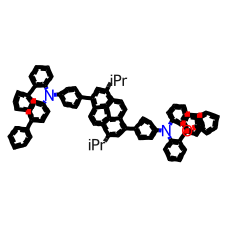 CC(C)c1cc(-c2ccc(N(c3ccc(-c4ccccc4)cc3)c3ccccc3-c3ccccc3)cc2)c2ccc3c(C(C)C)cc(-c4ccc(N(c5ccccc5-c5ccccc5)c5cccc6c5oc5ccccc56)cc4)c4ccc1c2c43